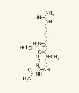 CN(C(=O)C[C@@H](N)CCCCNC(=N)N)C1CNC(NC(N)=O)=NC1=O.Cl.Cl